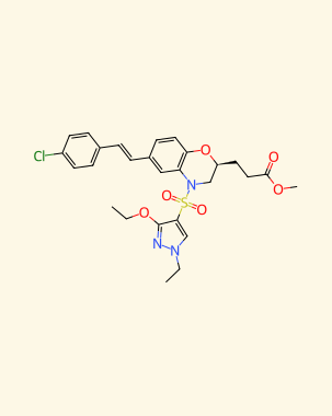 CCOc1nn(CC)cc1S(=O)(=O)N1C[C@H](CCC(=O)OC)Oc2ccc(/C=C/c3ccc(Cl)cc3)cc21